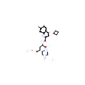 CCOC(=O)N1CCN(C(=O)C(CCC(=O)OC(C)C)NC(=O)c2cc(OC3(C(=O)O)CCC3)c3cc(F)c(C)cc3n2)CC1